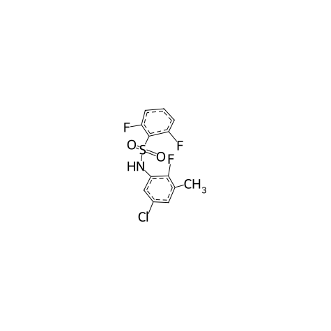 Cc1cc(Cl)cc(NS(=O)(=O)c2c(F)cccc2F)c1F